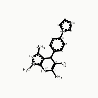 Cc1nn(C)c2c1C(c1ccc(-n3ccnc3)cc1)C(C#N)=C(N)N2